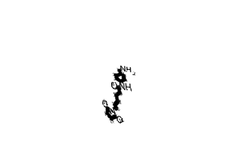 NCc1ccc(NC(=O)CCCCCN2C(=O)C=CC2=O)cc1